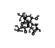 COc1ccccc1C1=NN(C)C(=O)C1(C)N(OC(=O)OC(C)(C)C)C(=O)OC(C)(C)C